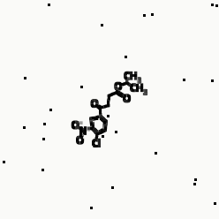 CC(C)OC(=O)CCC(=O)c1ccc(Cl)c([N+](=O)[O-])c1